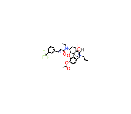 C=CCN1CC[C@]23c4c5ccc(OC(C)=O)c4OC2C(N(CC)C(=O)/C=C/c2cccc(C(F)(F)F)c2)CC[C@@]3(O)[C@H]1C5